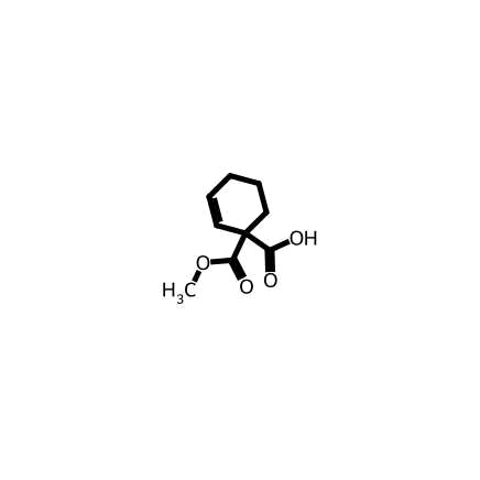 COC(=O)C1(C(=O)O)C=CCCC1